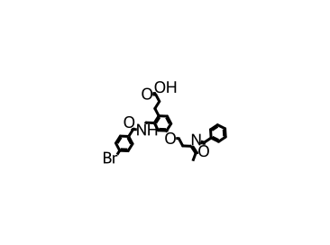 Cc1oc(-c2ccccc2)nc1CCOc1ccc(CCC(=O)O)c(CNC(=O)c2ccc(Br)cc2)c1